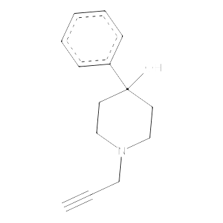 C#CCN1CCC(O)(c2ccccc2)CC1